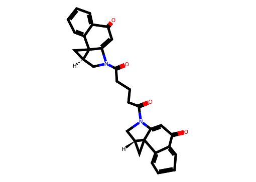 O=C1C=C2N(C(=O)CCCC(=O)N3C[C@H]4CC45C3=CC(=O)c3ccccc35)C[C@H]3CC23c2ccccc21